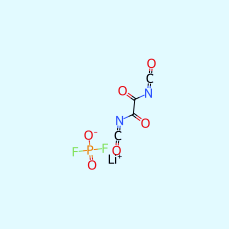 O=C=NC(=O)C(=O)N=C=O.O=P([O-])(F)F.[Li+]